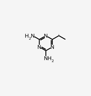 C[CH]c1nc(N)nc(N)n1